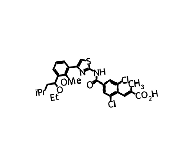 CCOC(CC(C)C)c1cccc(-c2csc(NC(=O)c3cc(Cl)c(/C=C(\C)C(=O)O)c(Cl)c3)n2)c1OC